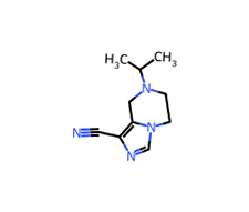 CC(C)N1CCn2cnc(C#N)c2C1